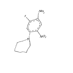 Nc1cc([N+](=O)[O-])c(N2CCCCC2)cc1F